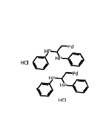 Cl.Cl.[Pd][CH2]C(Pc1ccccc1)Pc1ccccc1.[Pd][CH2]C(Pc1ccccc1)Pc1ccccc1